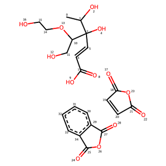 CC(O)C(O)(C=CC(=O)O)C(CO)OCCO.O=C1C=CC(=O)O1.O=C1OC(=O)c2ccccc21